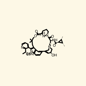 CCn1c(-c2cccnc2[C@H](C)OC)c2c3cc(ccc31)C1=C[C@H](O)CN(C1)C[C@H](NC(=O)[C@H]1[C@H](C)[C@@H]1C)C(=O)N1CCC[C@H](N1)C(=O)OCC(C)(C)C2